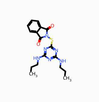 CCCNc1nc(NCCC)nc(SN2C(=O)c3ccccc3C2=O)n1